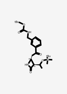 CC(O[Si](C)(C)C(C)(C)C)[C@H]1C(=O)N[C@@H]1CC(=O)c1cccc(CNC(=O)OC(C)(C)C)c1